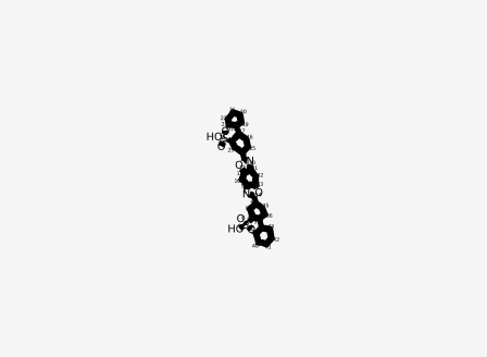 O=S(=O)(O)c1cc(-c2nc3cc4oc(-c5ccc(-c6ccccc6)c(S(=O)(=O)O)c5)nc4cc3o2)ccc1-c1ccccc1